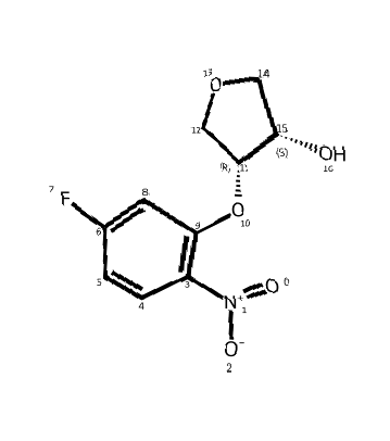 O=[N+]([O-])c1ccc(F)cc1O[C@@H]1COC[C@@H]1O